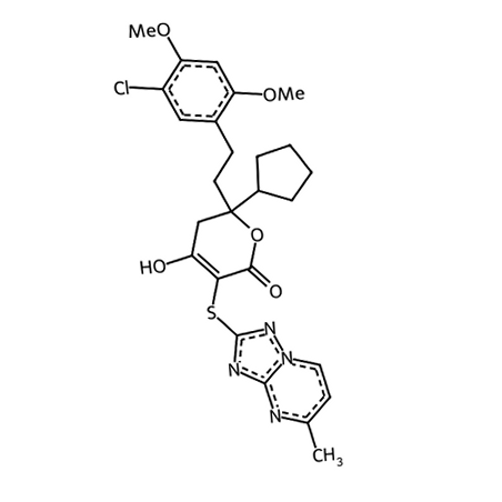 COc1cc(OC)c(CCC2(C3CCCC3)CC(O)=C(Sc3nc4nc(C)ccn4n3)C(=O)O2)cc1Cl